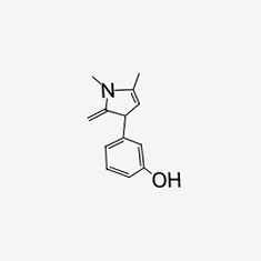 C=C1C(c2cccc(O)c2)C=C(C)N1C